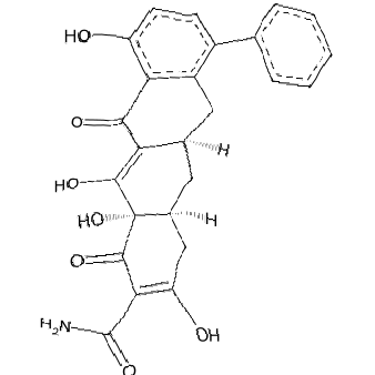 NC(=O)C1=C(O)C[C@@H]2C[C@@H]3Cc4c(-c5ccccc5)ccc(O)c4C(=O)C3=C(O)[C@]2(O)C1=O